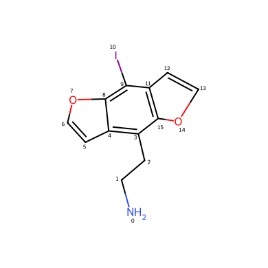 NCCc1c2ccoc2c(I)c2ccoc12